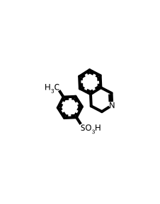 C1=NCCc2ccccc21.Cc1ccc(S(=O)(=O)O)cc1